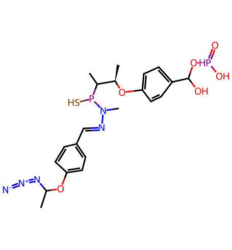 CC(N=[N+]=[N-])Oc1ccc(/C=N/N(C)P(S)C(C)[C@@H](C)Oc2ccc(C(O)O[PH](=O)O)cc2)cc1